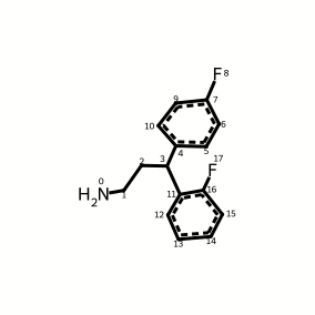 NCCC(c1ccc(F)cc1)c1ccccc1F